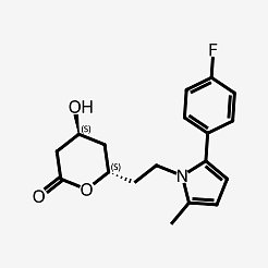 Cc1ccc(-c2ccc(F)cc2)n1CC[C@H]1C[C@H](O)CC(=O)O1